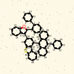 c1ccc(-c2ccccc2-c2oc3ccccc3c2-c2cc(-c3c4ccccc4c(-c4ccccc4)c4ccccc34)c3c(c2)sc2ccccc23)cc1